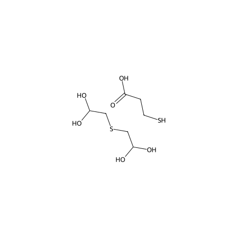 O=C(O)CCS.OC(O)CSCC(O)O